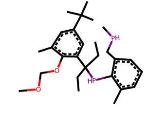 CCC(CC)(Pc1c(C)cccc1CPC)c1cc(C(C)(C)C)cc(C)c1OCOC